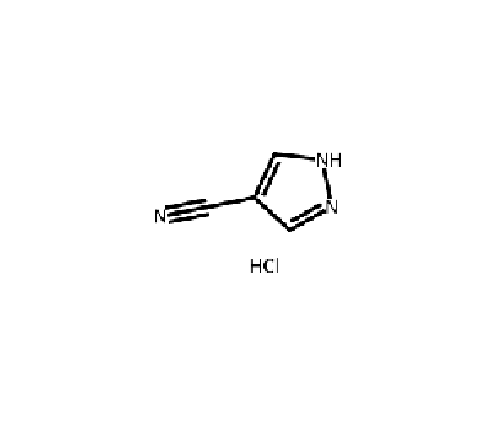 Cl.N#Cc1cn[nH]c1